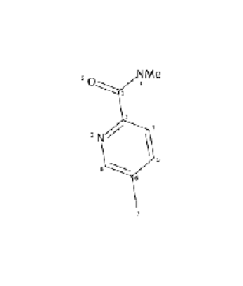 CNC(=O)c1ccc(I)cn1